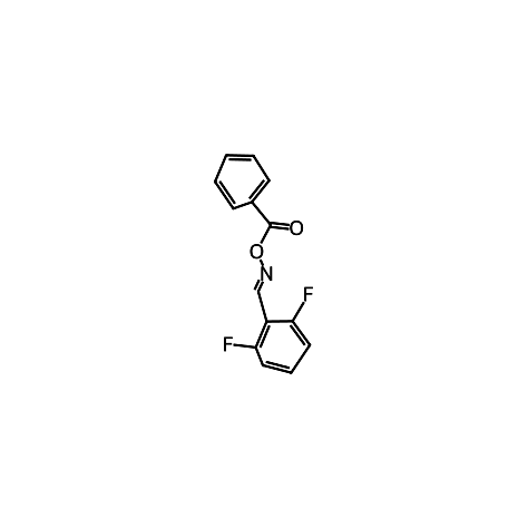 O=C(O/N=C/c1c(F)cccc1F)c1ccccc1